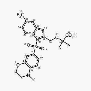 CN1CCOc2cc(S(=O)(=O)n3c(COC(C)(C)C(=O)O)cc4cc(C(F)(F)F)ccc43)ccc21